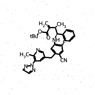 C=C(C(=O)OC(C)(C)C)[C@@H](C)[C@H](Nc1cc(Cc2cnc(C)c(-n3nccn3)c2)c(C#N)cc1F)c1ccccc1